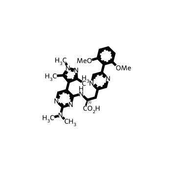 COc1cccc(OC)c1-c1cnc(C[C@H](Nc2nc(N(C)C)ncc2-c2c(C)nn(C)c2C)C(=O)O)cn1